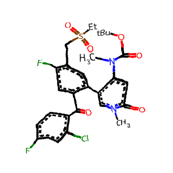 CCS(=O)(=O)Cc1cc(-c2cn(C)c(=O)cc2N(C)C(=O)OC(C)(C)C)c(C(=O)c2ccc(F)cc2Cl)cc1F